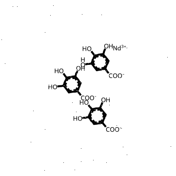 O=C([O-])c1cc(O)c(O)c(O)c1.O=C([O-])c1cc(O)c(O)c(O)c1.O=C([O-])c1cc(O)c(O)c(O)c1.[Nd+3]